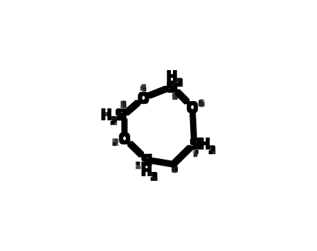 C1[SiH2]O[SiH2]O[SiH2]O[SiH2]1